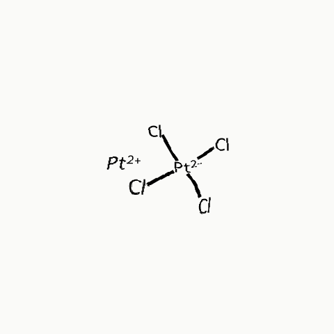 [Cl][Pt-2]([Cl])([Cl])[Cl].[Pt+2]